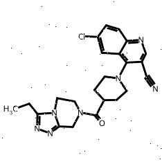 CCc1nnc2n1CCN(C(=O)C1CCN(c3c(C#N)cnc4ccc(Cl)cc34)CC1)C2